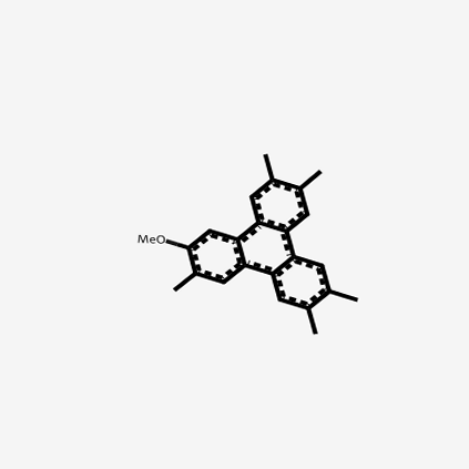 COc1cc2c3cc(C)c(C)cc3c3cc(C)c(C)cc3c2cc1C